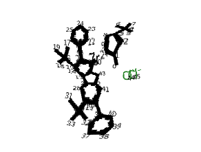 CC1C=C(C(C)(C)C)C=[C]1[Zr+2][c]1c2c(cc(C(C)(C)C)c1-c1ccccc1)-c1cc(C(C)(C)C)c(-c3ccccc3)cc1C2.[Cl-].[Cl-]